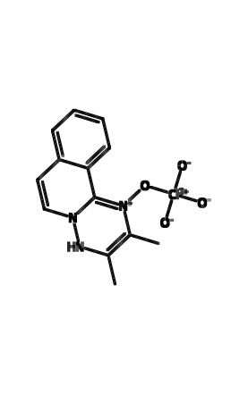 CC1=C(C)[N+](O[Cl+3]([O-])([O-])[O-])=C2c3ccccc3C=CN2N1